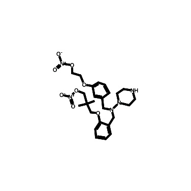 CC(C)(COc1ccccc1CN(Cc1cccc(OCCO[N+](=O)[O-])c1)N1CCNCC1)CO[N+](=O)[O-]